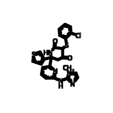 Cn1ccnc1Nc1cccc(C2(c3ccsc3)CC(=O)C(Sc3ccccc3Cl)C(=O)N2)n1